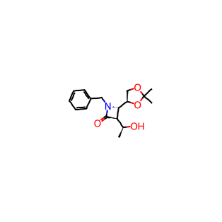 C[C@H](O)[C@H]1C(=O)N(Cc2ccccc2)[C@@H]1[C@H]1COC(C)(C)O1